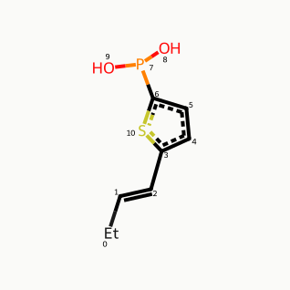 CC/C=C/c1ccc(P(O)O)s1